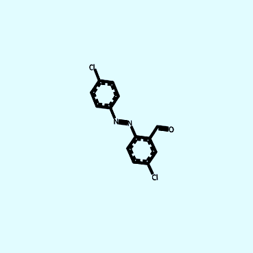 O=Cc1cc(Cl)ccc1N=Nc1ccc(Cl)cc1